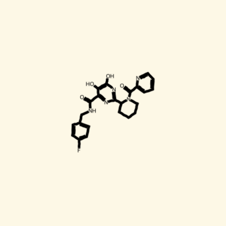 O=C(NCc1ccc(F)cc1)c1nc(C2CCCCN2C(=O)c2ccccn2)nc(O)c1O